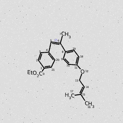 CCOC(=O)c1ccc(/C=C(/C)c2ccc(OCC=C(C)C)cc2)cc1